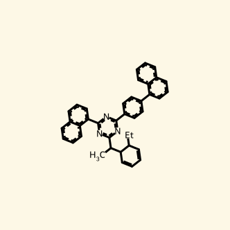 CCC1C=CC=CC1C(C)c1nc(-c2ccc(-c3cccc4ccccc34)cc2)nc(-c2cccc3ccccc23)n1